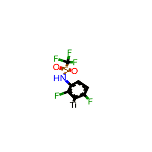 O=S(=O)(Nc1ccc(F)[c]([Ti])c1F)C(F)(F)F